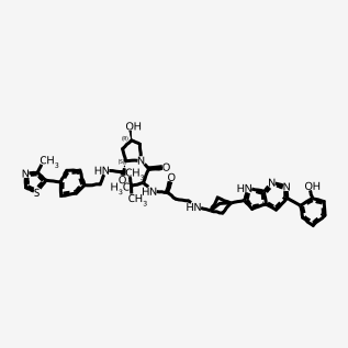 Cc1ncsc1-c1ccc(CNC(=O)[C@@H]2C[C@@H](O)CN2C(=O)C(NC(=O)CCNC23CC(c4cc5cc(-c6ccccc6O)nnc5[nH]4)(C2)C3)C(C)(C)C)cc1